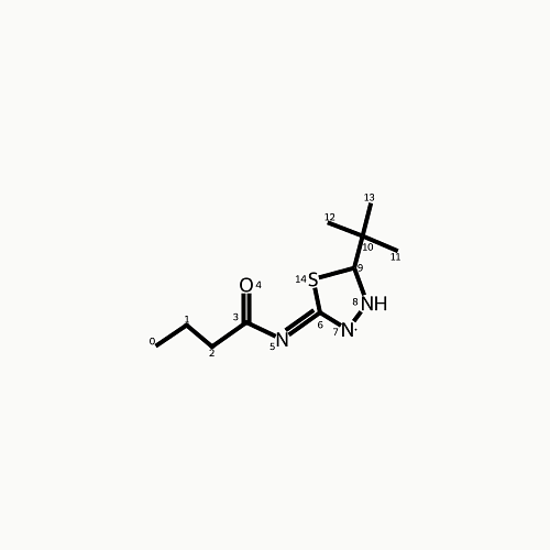 CCCC(=O)N=C1[N]NC(C(C)(C)C)S1